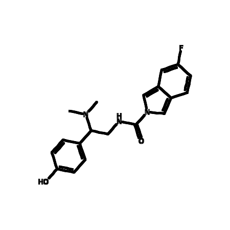 CN(C)C(CNC(=O)n1cc2ccc(F)cc2c1)c1ccc(O)cc1